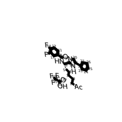 CC(=O)CCCCC[C@H](NC(=O)c1ccc(F)c(F)c1)c1ncc(-c2ccccc2)[nH]1.O=C(O)C(F)(F)F